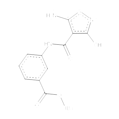 Cc1nsc(N)c1C(=O)Nc1cccc(C(=O)OC(C)(C)C)c1